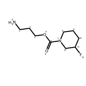 NCCCOC(=O)N1CCCC(F)C1